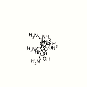 C[C@@H](O)[C@H](NC(=O)[C@@H](N)CCN)C(=O)N[C@@H](CCN)C(=O)N[C@@H](CCN)C(=O)O